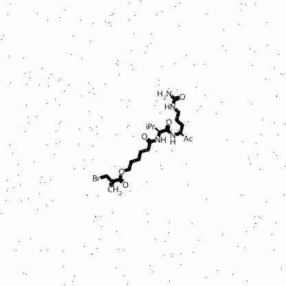 C=C(CBr)C(=O)OCCCCCC(=O)N[C@H](C(=O)N[C@@H](CCCNC(N)=O)C(C)=O)C(C)C